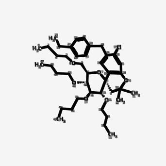 CCCCOC[C@H]1O[C@]2(CC(C)(C)Oc3cc(Cl)c(Cc4ccc(CC)cc4)cc32)[C@H](OCCCC)[C@@H](OCCCC)[C@@H]1OCCCC